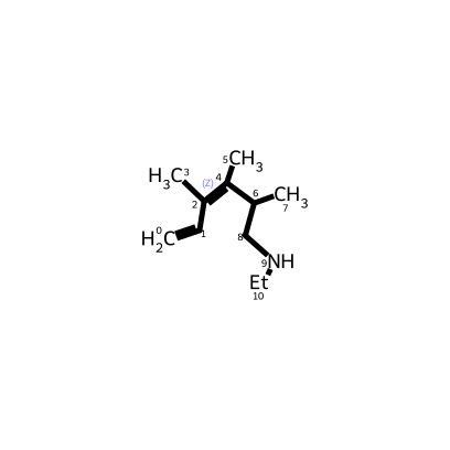 C=C/C(C)=C(/C)C(C)CNCC